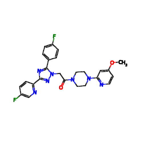 COc1ccnc(N2CCN(C(=O)Cn3nc(-c4ccc(F)cn4)nc3-c3ccc(F)cc3)CC2)c1